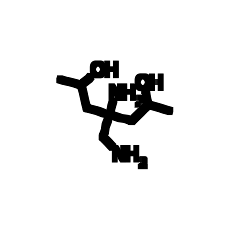 CC(O)CC(N)(CN)CC(C)O